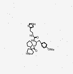 COc1ccc(C[C@@H](COC(=O)C2(C3CCCCC3)CCNCC2)NC(=O)NCCc2c[nH]cn2)cc1